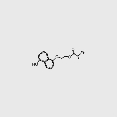 CCC(I)C(=O)OCCOc1cccc2c(O)cccc12